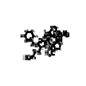 CC(C)C1=CC2CC3(C=O)[C@@H]4CC[C@@H](C)[C@H]4CC2(C2CC(CCCO)C(CN4CCCCC4)O2)C13C(=O)O